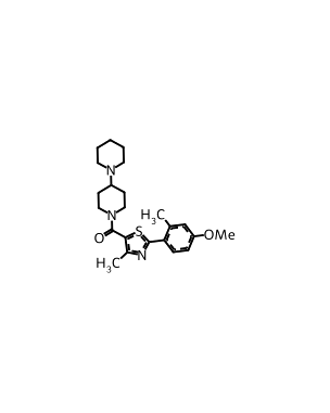 COc1ccc(-c2nc(C)c(C(=O)N3CCC(N4CCCCC4)CC3)s2)c(C)c1